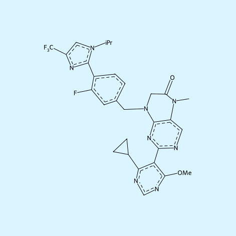 COc1ncnc(C2CC2)c1-c1ncc2c(n1)N(Cc1ccc(-c3nc(C(F)(F)F)cn3C(C)C)c(F)c1)CC(=O)N2C